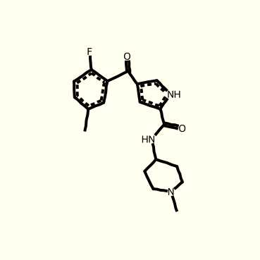 Cc1ccc(F)c(C(=O)c2c[nH]c(C(=O)NC3CCN(C)CC3)c2)c1